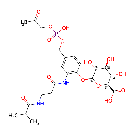 BC(=O)COP(=O)(O)OCc1ccc(O[C@@H]2O[C@H](C(=O)O)[C@@H](O)[C@H](O)[C@H]2O)c(NC(=O)CCNC(=O)C(C)C)c1